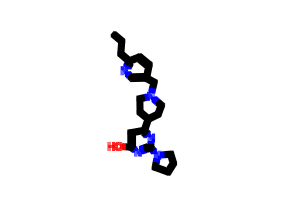 CCCc1ccc(CN2CCC(c3cc(O)nc(N4CCCC4)n3)CC2)cn1